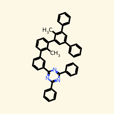 Cc1c(-c2cccc(-c3nc(-c4ccccc4)nc(-c4ccccc4)n3)c2)cccc1-c1cc(-c2ccccc2)cc(-c2ccccc2)c1C